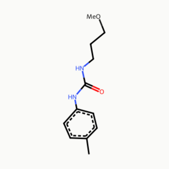 COCCCNC(=O)Nc1ccc(C)cc1